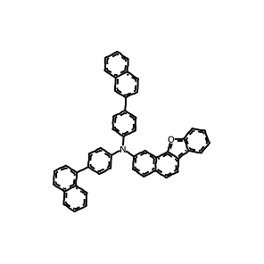 c1ccc2cc(-c3ccc(N(c4ccc(-c5cccc6ccccc56)cc4)c4ccc5ccc6c7ccccc7oc6c5c4)cc3)ccc2c1